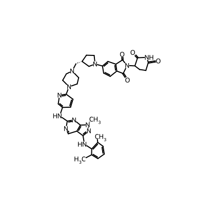 Cc1cccc(C)c1Nc1nn(C)c2nc(Nc3ccc(N4CCN(C[C@@H]5CCN(c6ccc7c(c6)C(=O)N(C6CCC(=O)NC6=O)C7=O)C5)CC4)nc3)ncc12